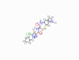 CN1C(=O)[C@H](N2CCc3c(nn(Cc4ccccc4)c3Cl)C2=O)CSc2cc3c(ccn3C)cc21